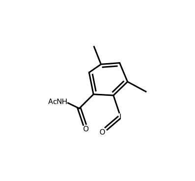 CC(=O)NC(=O)c1cc(C)cc(C)c1I=O